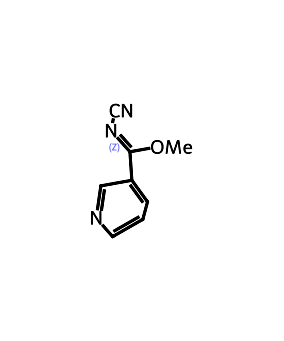 CO/C(=N\C#N)c1cccnc1